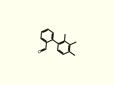 Cc1ccc(-c2ccccc2C=O)c(C)c1C